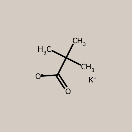 CC(C)(C)C(=O)[O-].[K+]